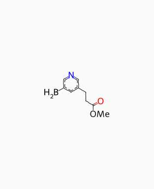 Bc1cncc(CCC(=O)OC)c1